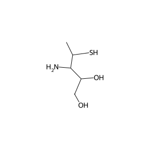 CC(S)C(N)C(O)CO